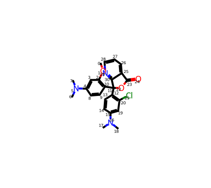 COc1cc(N(C)C)ccc1C1(c2ccc(N(C)C)cc2Cl)OC(=O)c2cccnc21